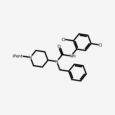 CCCC(C)N1CCC(N(Cc2ccccc2)C(=O)Nc2cc(Cl)ccc2Cl)CC1